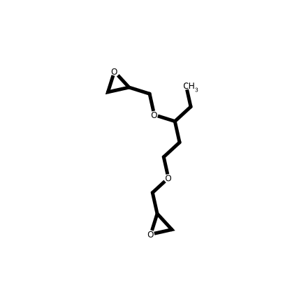 CCC(CCOCC1CO1)OCC1CO1